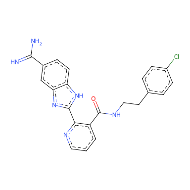 N=C(N)c1ccc2[nH]c(-c3ncccc3C(=O)NCCc3ccc(Cl)cc3)nc2c1